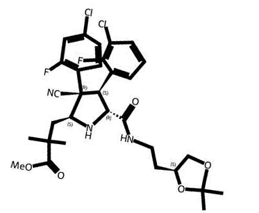 COC(=O)C(C)(C)C[C@@H]1N[C@@H](C(=O)NCC[C@H]2COC(C)(C)O2)[C@H](c2cccc(Cl)c2F)[C@@]1(C#N)c1ccc(Cl)cc1F